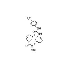 Cc1ccc(NC(=O)NC2(OC3CCCN(C(=O)OC(C)(C)C)C3)C=CC=C(F)C2)cn1